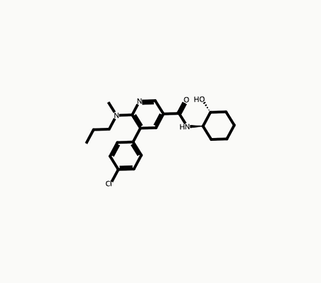 CCCN(C)c1ncc(C(=O)N[C@@H]2CCCC[C@H]2O)cc1-c1ccc(Cl)cc1